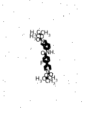 CC(C)(C)OC(=O)N1CC=C(c2ccc(C(=O)Nc3ccc4c(c3)CN(C(=O)OC(C)(C)C)C4)cc2F)CC1